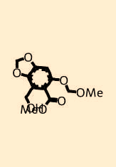 COCOc1cc2c(c(CO)c1C(=O)OC)OCO2